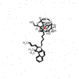 C/C=C/C=C1/N(CCCCCC(=O)N[C@H]2[C@H](O)[C@H]3CCCO[C@H]4[C@H](O)[C@@H](O)C(O[C@@H]2[C@@H](CO)O3)O[C@@H]4CO)c2ccc3ccccc3c2C1(C)C